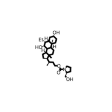 CC[C@H]1[C@@H](O)C2[C@@H]3CC[C@H]([C@H](C)CCOC(=O)N4CCC[C@H]4CO)C3(C)CC[C@@H]2[C@@]2(C)CC[C@@H](O)C[C@@H]12